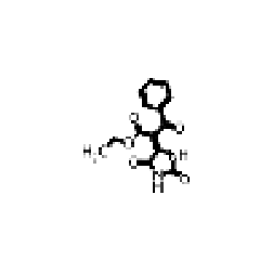 CCOC(=O)C(C(=O)c1ccccc1)=C1NC(=O)NC1=O